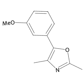 COc1cccc(-c2oc(C)nc2C)c1